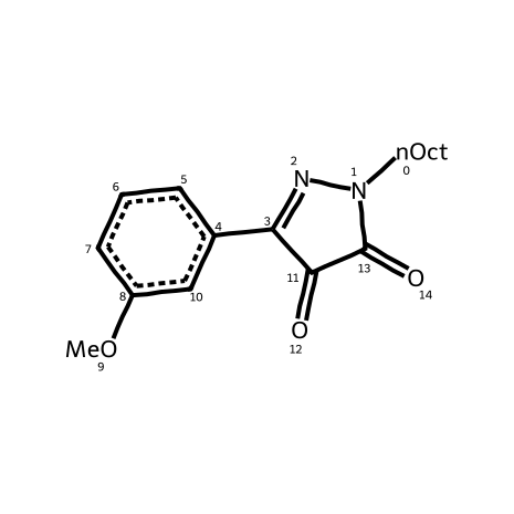 CCCCCCCCN1N=C(c2cccc(OC)c2)C(=O)C1=O